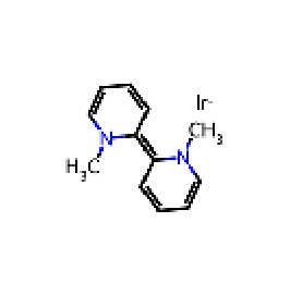 CN1C=CC=CC1=C1C=CC=CN1C.[Ir]